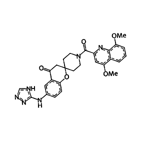 COc1cc(C(=O)N2CCC3(CC2)CC(=O)c2cc(Nc4nnc[nH]4)ccc2O3)nc2c(OC)cccc12